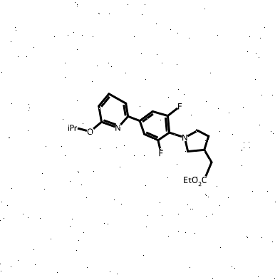 CCOC(=O)CC1CCN(c2c(F)cc(-c3cccc(OC(C)C)n3)cc2F)C1